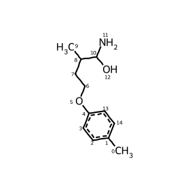 Cc1ccc(OCCC(C)C(N)O)cc1